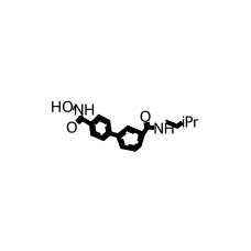 CC(C)CCNC(=O)c1cccc(-c2ccc(C(=O)NO)cc2)c1